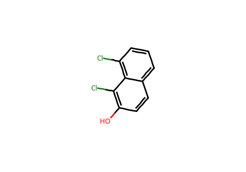 Oc1ccc2cccc(Cl)c2c1Cl